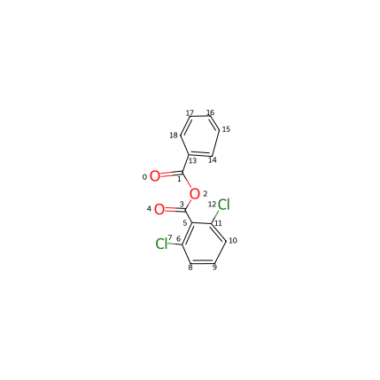 O=C(OC(=O)c1c(Cl)cccc1Cl)c1ccccc1